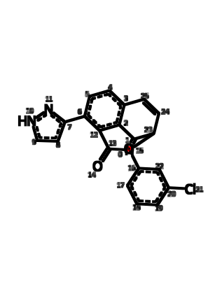 O=C1c2c3ccc(-c4cc[nH]n4)c2C(=O)N(c2cccc(Cl)c2)C1C=C3